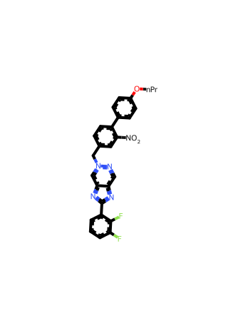 CCCOc1ccc(-c2ccc(Cn3cc4nc(-c5cccc(F)c5F)nc-4cn3)cc2[N+](=O)[O-])cc1